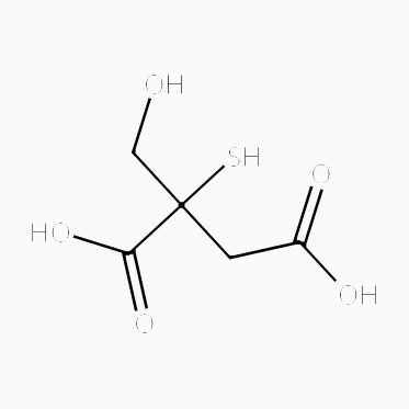 O=C(O)CC(S)(CO)C(=O)O